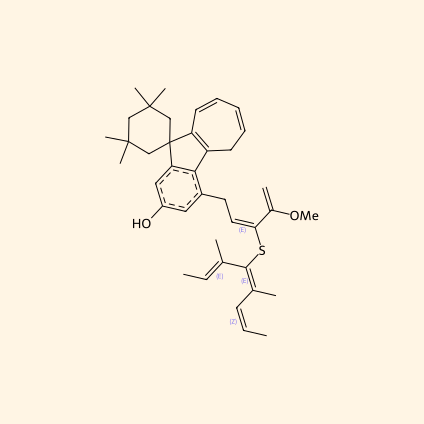 C=C(OC)/C(=C\Cc1cc(O)cc2c1C1=C(C=CC=CC1)C21CC(C)(C)CC(C)(C)C1)SC(/C(C)=C/C)=C(C)/C=C\C